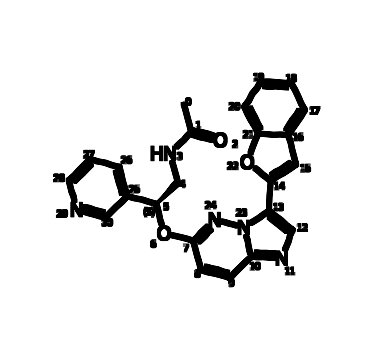 CC(=O)NC[C@@H](Oc1ccc2ncc(-c3cc4ccccc4o3)n2n1)c1cccnc1